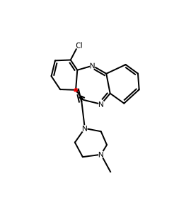 CN1CCN(C2=C3N=c4ccccc4=NC4=C(Cl)C=CCC43CC=C2)CC1